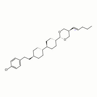 CCC/C=C/[C@H]1CO[C@H]([C@H]2CC[C@H]([C@H]3CC[C@H](CCc4ccc(Cl)cc4)CC3)CC2)OC1